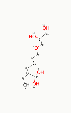 CCC(CCCCOCC(O)CO)C(O)O